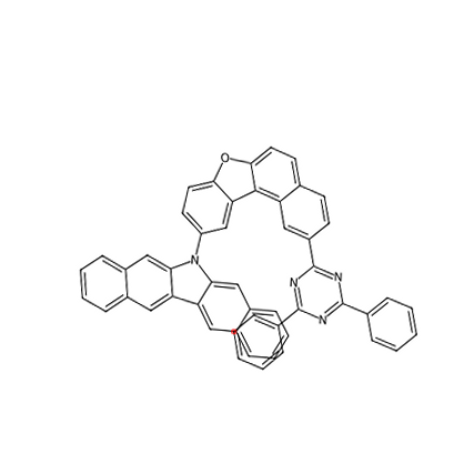 c1ccc(-c2nc(-c3ccccc3)nc(-c3ccc4ccc5oc6ccc(-n7c8cc9ccccc9cc8c8cc9ccccc9cc87)cc6c5c4c3)n2)cc1